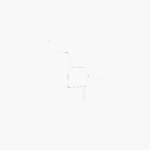 CC=C1C(=O)CN(C(=O)OC(C)(C)C)CC1=O